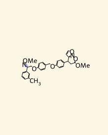 CO/N=C(\COc1ccc(COc2ccc(C(CC(=O)OC)c3ccon3)cc2)cc1)c1cccc(C)c1